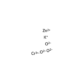 [Cr+3].[K+].[O-2].[O-2].[O-2].[Zn+2]